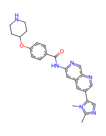 Cc1ncc(-c2cnc3cnc(NC(=O)c4ccc(OC5CCNCC5)cc4)cc3c2)n1C